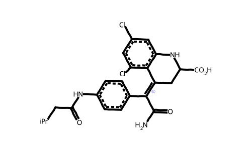 CC(C)CC(=O)Nc1ccc(/C(C(N)=O)=C2/CC(C(=O)O)Nc3cc(Cl)cc(Cl)c32)cc1